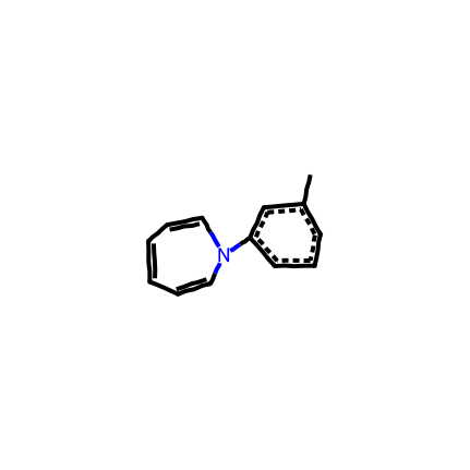 Cc1cccc(N2C=CC=CC=C2)c1